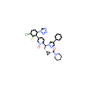 O=C([C@@H]1C[C@@H]1CC(c1ccc(-c2c(-n3cnnn3)ccc(Cl)c2F)c[n+]1[O-])n1cc(-c2ccccc2)cn1)N1CCCCC1